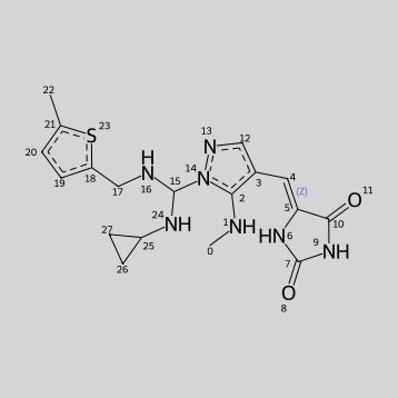 CNc1c(/C=C2\NC(=O)NC2=O)cnn1C(NCc1ccc(C)s1)NC1CC1